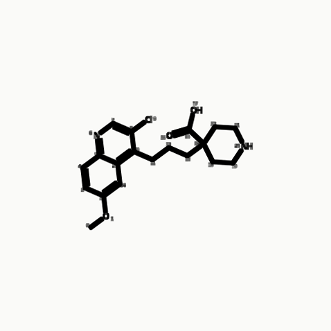 COc1ccc2ncc(Cl)c(CCCC3(C(=O)O)CCNCC3)c2c1